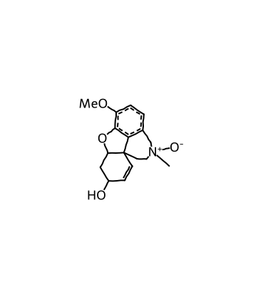 COc1ccc2c3c1OC1CC(O)C=CC31CC[N+](C)([O-])C2